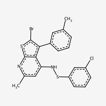 Cc1cccc(-c2c(Br)sc3nc(C)cc(NSc4cccc(Cl)c4)c23)c1